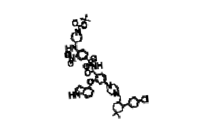 CC1(C)CCC(CN2CCN(c3ccc(C(=O)NS(=O)(=O)c4ccc(NC5CCN(C(=O)OC(C)(C)C)CC5)c([N+](=O)[O-])c4)c(Oc4cccc5[nH]ccc45)c3)CC2)=C(c2ccc(Cl)cc2)C1